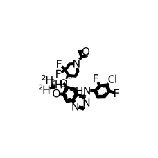 [2H]C([2H])([2H])Oc1cc2ncnc(Nc3ccc(F)c(Cl)c3F)c2cc1O[C@@H]1CCN(C2COC2)CC1(F)F